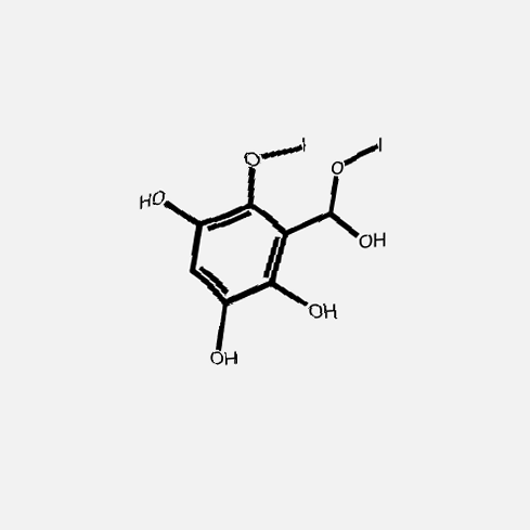 Oc1cc(O)c(OI)c(C(O)OI)c1O